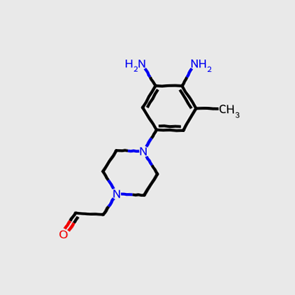 Cc1cc(N2CCN(CC=O)CC2)cc(N)c1N